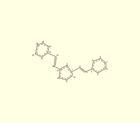 [c]1c(C=Cc2ccccc2)cccc1C=Cc1ccccc1